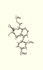 COC[C@@H](C)n1c(=O)c(C)nc2c(-c3cnc(OC)nc3OC)nccc21